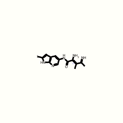 CC(=N)/C(C)=C(\N)C(=O)Nc1cnc2[nH]c(I)cc2c1